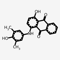 Cc1cc(Nc2ccc(O)c3c2C(=O)c2ccccc2C3=O)cc(C)c1O